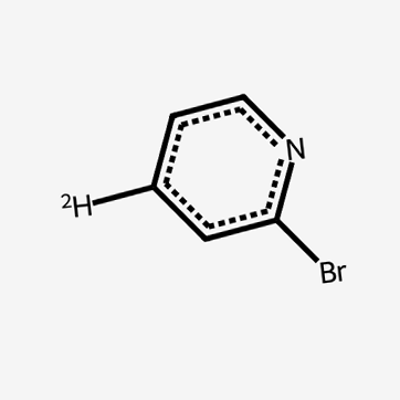 [2H]c1ccnc(Br)c1